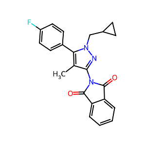 Cc1c(N2C(=O)c3ccccc3C2=O)nn(CC2CC2)c1-c1ccc(F)cc1